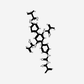 C=C(C)C(=O)OC(=O)Oc1ccc(-c2cc(OC(=O)C(=C)C)c(-c3ccc(OC(=O)C(=C)C)cc3)cc2OC(=O)C(=C)C)cc1